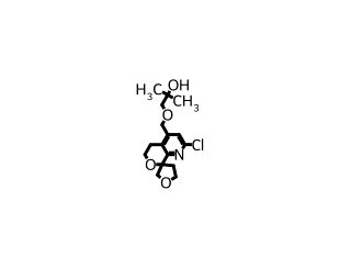 CC(C)(O)COCc1cc(Cl)nc2c1CCOC21CCOC1